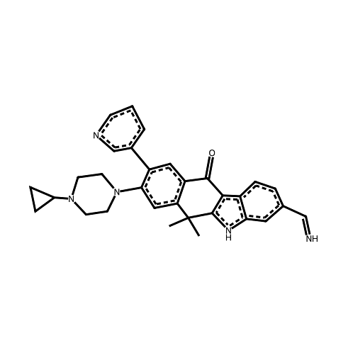 CC1(C)c2cc(N3CCN(C4CC4)CC3)c(-c3cccnc3)cc2C(=O)c2c1[nH]c1cc(C=N)ccc21